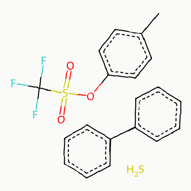 Cc1ccc(OS(=O)(=O)C(F)(F)F)cc1.S.c1ccc(-c2ccccc2)cc1